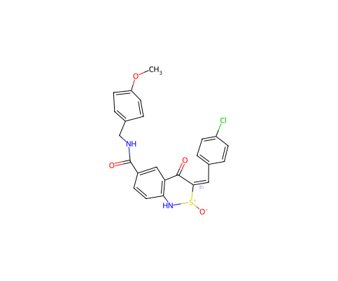 COc1ccc(CNC(=O)c2ccc3c(c2)C(=O)/C(=C\c2ccc(Cl)cc2)[S+]([O-])N3)cc1